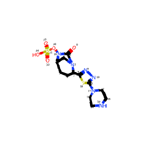 O=C1N2CC(CCC2c2nnc(N3CCNCC3)s2)N1OS(=O)(=O)O